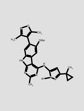 COc1cc2c(cc1-c1c(C)noc1C)[nH]c1nc(C)nc(Nc3cc(C4(C)CC4)nn3C(C)C)c12